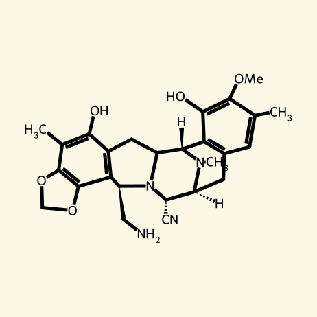 COc1c(C)cc2c(c1O)[C@H]1C3Cc4c(O)c(C)c5c(c4[C@H](CN)N3[C@@H](C#N)[C@H](C2)N1C)OCO5